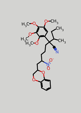 CCC(C)C(C#N)(CCCC(CC1COc2ccccc2O1)[N+](=O)[O-])c1cc(OC)c(OC)c(OC)c1OC